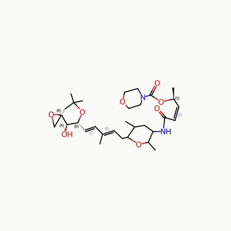 CC(/C=C/[C@H]1OC(C)(C)C[C@@]2(CO2)[C@@H]1O)=C\CC1OC(C)C(NC(=O)/C=C\[C@H](C)OC(=O)N2CCOCC2)CC1C